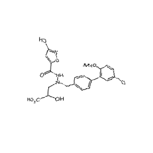 COc1ccc(Cl)cc1-c1ccc(CN(CC(O)C(=O)O)NC(=O)c2cc(O)no2)cc1